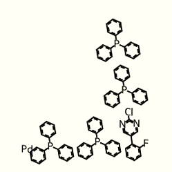 Fc1ccccc1-c1cnc(Cl)nc1.[Pd].c1ccc(P(c2ccccc2)c2ccccc2)cc1.c1ccc(P(c2ccccc2)c2ccccc2)cc1.c1ccc(P(c2ccccc2)c2ccccc2)cc1.c1ccc(P(c2ccccc2)c2ccccc2)cc1